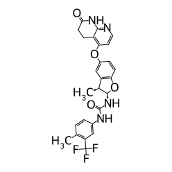 Cc1ccc(NC(=O)N[C@@H]2Oc3ccc(Oc4ccnc5c4CCC(=O)N5)cc3[C@@H]2C)cc1C(F)(F)F